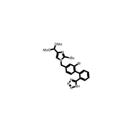 CCCCc1nc(C(OC)OC)cn1Cc1ccc(-c2ccccc2-c2nnn[nH]2)c(Br)c1